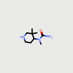 CN(C(N)=O)C1CCNCC1(C)C